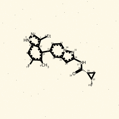 CCc1n[nH]c2cc(F)c(C)c(-c3ccn4nc(NC(=O)[C@@H]5C[C@@H]5F)cc4c3)c12